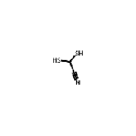 N#C[C](S)S